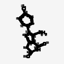 Nc1c2c(nn1-c1ccc(Cl)cc1)CC(=O)NC2=O